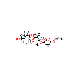 C=COC(=O)/C=C\C(=O)OC(C)(C)C(C)C(=O)OC(C)(C)CCC(C)(C)O